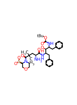 CC(C)(C)OC(=O)NC(Cc1ccccc1)C(O)C(Cc1ccccc1)NC(=O)[C@@H](N)CC(C)(C)C(=O)N1CCOCC1=S(=O)=O